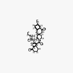 CCNC(=O)Nc1sc2c(c1C(=O)N1CCC3(CC1)CC(=O)c1cc(F)ccc1S3)CCCC2=O